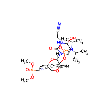 COP(=O)(/C=C/[C@@]12CO[C@@H](C(N3C=CC(O)NC3=O)O1)[C@H](OP(OCCC#N)N(C(C)C)C(C)C)C2)OC